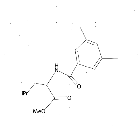 COC(=O)C(CC(C)C)NC(=O)c1cc(C)cc(C)c1